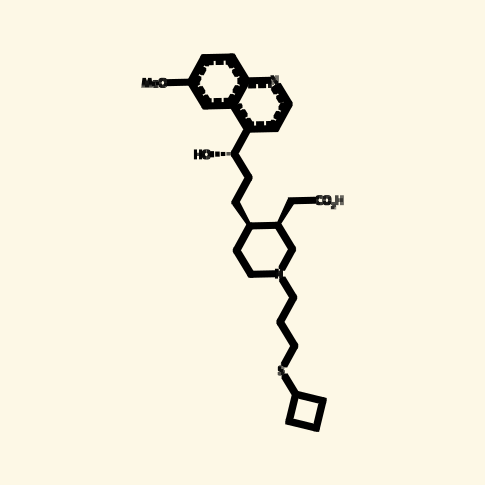 COc1ccc2nccc([C@@H](O)CC[C@@H]3CCN(CCCSC4CCC4)C[C@@H]3CC(=O)O)c2c1